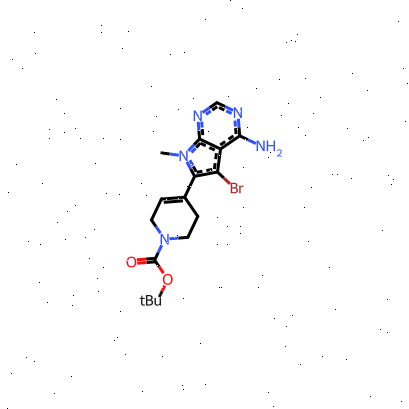 Cn1c(C2=CCN(C(=O)OC(C)(C)C)CC2)c(Br)c2c(N)ncnc21